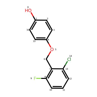 Oc1ccc(OCc2c(F)cccc2Cl)cc1